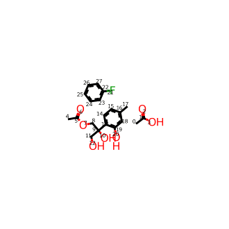 CC(=O)O.CC(=O)OCC(O)(CO)c1ccc(C)cc1O.Fc1ccccc1